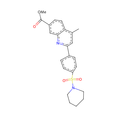 COC(=O)c1ccc2c(C)cc(-c3ccc(S(=O)(=O)N4CCCCC4)cc3)nc2c1